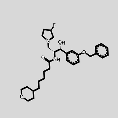 O=C(CCCCCC1CCOCC1)N[C@H](CN1CC[C@@H](F)C1)[C@H](O)c1cccc(OCc2ccccc2)c1